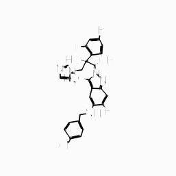 Cc1c2cc(NCc3ccc(Cl)cc3)c(F)cc2nn1[C@H](C)[C@](O)(Cn1cncn1)c1ccc(F)cc1F